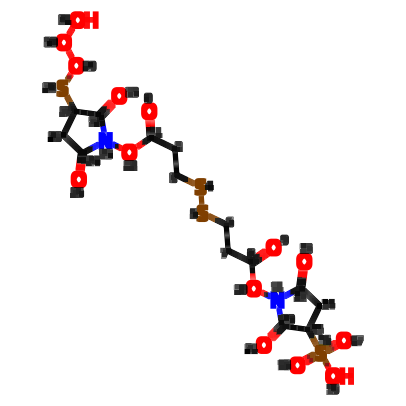 O=C(CCSSCCC(=O)ON1C(=O)CC(S(=O)(=O)O)C1=O)ON1C(=O)CC(SOOO)C1=O